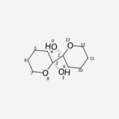 O[C@@]1([C@]2(O)CCCCO2)CCCCO1